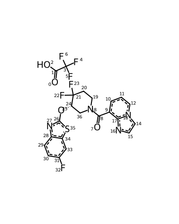 O=C(O)C(F)(F)F.O=C(c1cccn2ccnc12)N1CCC(F)(F)[C@@H](Oc2nc3ccc(F)cc3s2)C1